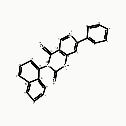 O=c1[nH]c2cc(-c3ccccc3)ncc2c(=O)n1-c1cccc2ccccc12